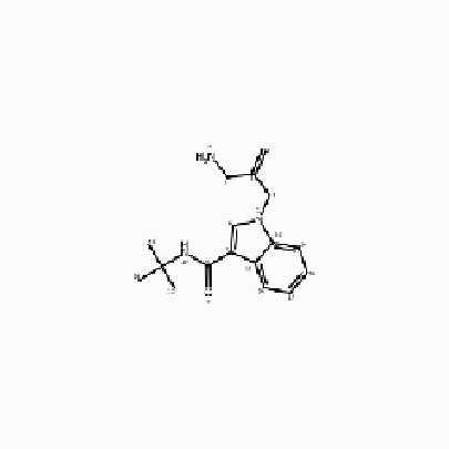 C=C(CN)Cn1cc(C(=O)NC(C)(C)C)c2ccccc21